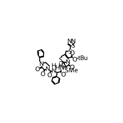 CS[C@@]1(NC(=O)C(NC(=O)N2CCN(Cc3ccccc3)C(=O)C2=O)c2ccccc2)C(=O)N2C(C(=O)OC(C)(C)C)=C(CSc3cnns3)CS[C@@H]21